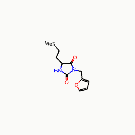 CSCCC1NC(=O)N(Cc2ccco2)C1=O